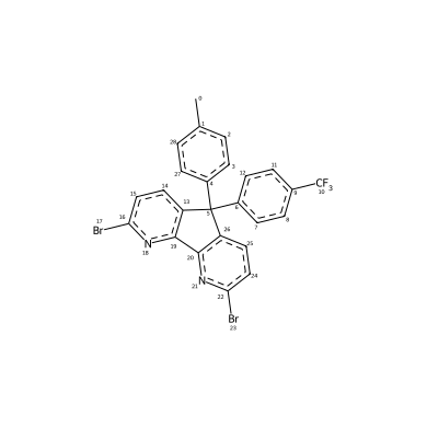 Cc1ccc(C2(c3ccc(C(F)(F)F)cc3)c3ccc(Br)nc3-c3nc(Br)ccc32)cc1